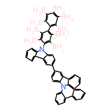 Bc1c(B)c(B)c(-c2c(B)c(B)c(-n3c4ccccc4c4cc(-c5ccc6c(c5)c5ccccc5n6-c5ccccc5-c5ccccc5)ccc43)c(B)c2B)c(B)c1B